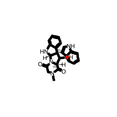 CN1CC(=O)N2[C@H](C1=O)C(O)[C@]1(c3c[nH]c4ccccc34)c3ccccc3N[C@H]21